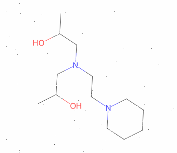 CC(O)CN(CCN1CCCCC1)CC(C)O